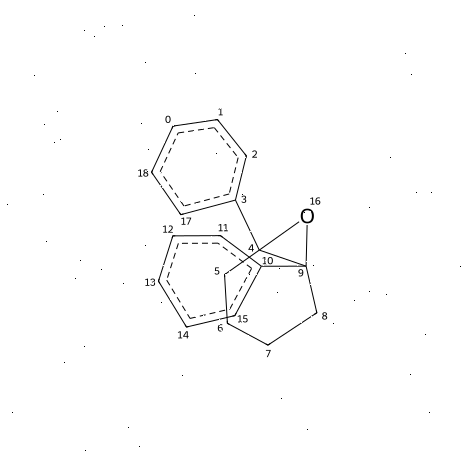 c1ccc(C23CCCCC2(c2ccccc2)O3)cc1